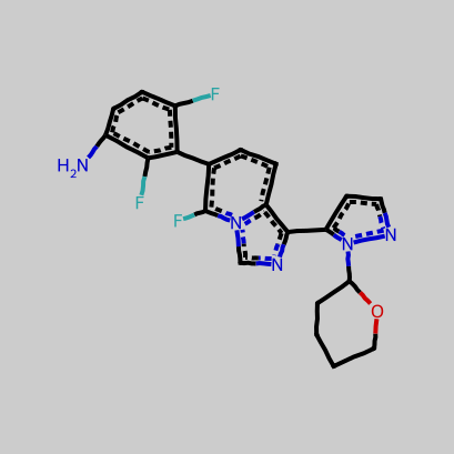 Nc1ccc(F)c(-c2ccc3c(-c4ccnn4C4CCCCO4)ncn3c2F)c1F